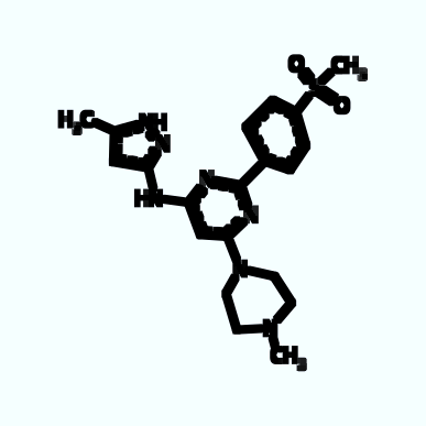 Cc1cc(Nc2cc(N3CCN(C)CC3)nc(-c3ccc(S(C)(=O)=O)cc3)n2)n[nH]1